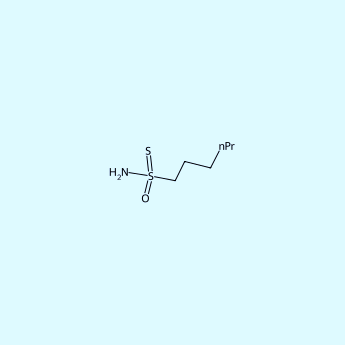 CCCCCCS(N)(=O)=S